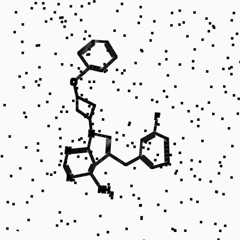 Nc1ncnc2c1c(Cc1cccc(F)c1)cn2C1CC(Oc2ccccc2)C1